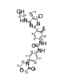 CSc1c(Cl)nc(-c2ccc(NC(=O)Nc3ccc(N4CCOCC4=O)cc3)cc2F)nc1NCCO